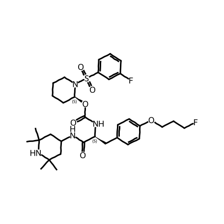 CC1(C)CC(NC(=O)[C@H](Cc2ccc(OCCCF)cc2)NC(=O)O[C@H]2CCCCN2S(=O)(=O)c2cccc(F)c2)CC(C)(C)N1